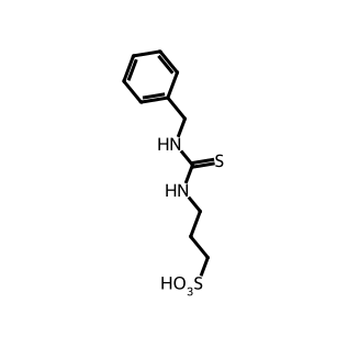 O=S(=O)(O)CCCNC(=S)NCc1ccccc1